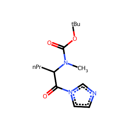 CCCC(C(=O)n1ccnc1)N(C)C(=O)OC(C)(C)C